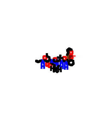 C=CCNC(=O)C(=O)C(CCC)NC(=O)[C@@H]1[C@@H]2[C@H](CN1C(=O)[C@@H](NC(=O)NC1(C[S+]([O-])Cc3ccco3)CCCCC1)C(C)(C)C)C2(C)C